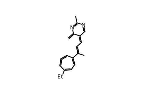 C=c1nc(C)nc/c1=C/C=C(\C)C1=CC=C(CC)C=C=C1